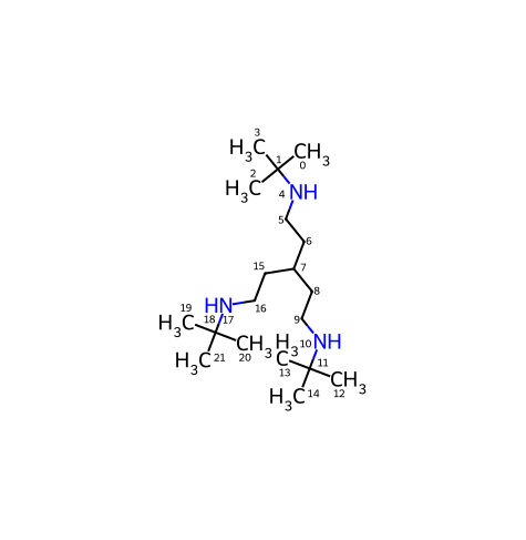 CC(C)(C)NCCC(CCNC(C)(C)C)CCNC(C)(C)C